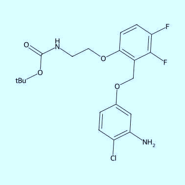 CC(C)(C)OC(=O)NCCOc1ccc(F)c(F)c1COc1ccc(Cl)c(N)c1